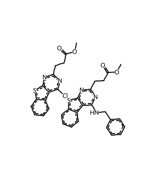 COC(=O)CCc1nc(Cl)c2c(n1)sc1ccccc12.COC(=O)CCc1nc(NCc2ccccc2)c2c(n1)sc1ccccc12